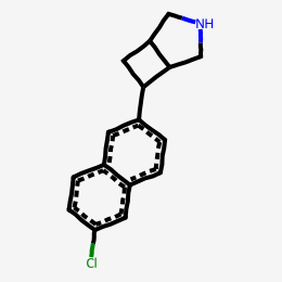 Clc1ccc2cc(C3CC4CNCC43)ccc2c1